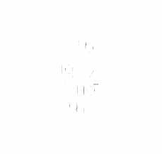 C=C(C(=O)O)C(C(=O)O)(C(C)CC(C)(C)OOC(C)(C)C)C(C)CC(C)(C)OOC(C)(C)C